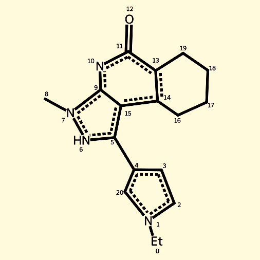 CCn1ccc(-c2[nH]n(C)c3nc(=O)c4c(c2-3)CCCC4)c1